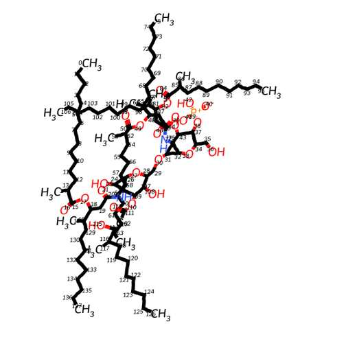 CCCCCCCCCCCCCC(C)C(=O)OC(CC(=O)NC12C(O)C1OC(COC1C3OC(CO)C(O[P+]([O-])(O)O)C(OC(=O)CC(OC(=O)C(C)CCCCCCCCCCC)C(C)CCCCCCCCC)C13NC(=O)CC(OC(=O)C(C)CCCCCCCCC)C(C)CCCCCCCCC)C(O)C2OC(=O)CC(O)C(C)CCCCCCCCC)C(C)CCCCCCCCC